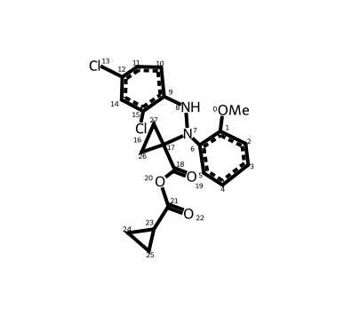 COc1ccccc1N(Nc1ccc(Cl)cc1Cl)C1(C(=O)OC(=O)C2CC2)CC1